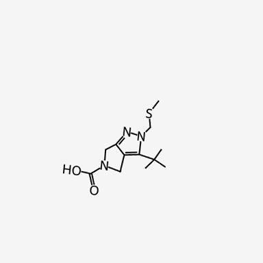 CSCn1nc2c(c1C(C)(C)C)CN(C(=O)O)C2